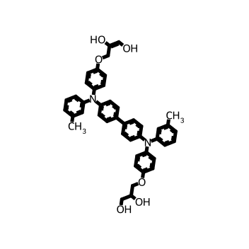 Cc1cccc(N(c2ccc(OC/C(O)=C\O)cc2)c2ccc(-c3ccc(N(c4ccc(OCC(O)CO)cc4)c4cccc(C)c4)cc3)cc2)c1